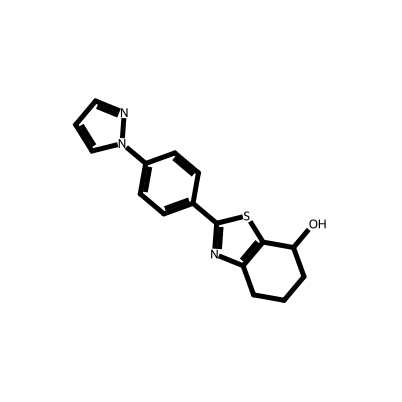 OC1CCCc2nc(-c3ccc(-n4cccn4)cc3)sc21